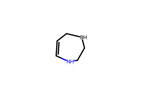 B1CC=CNCC1